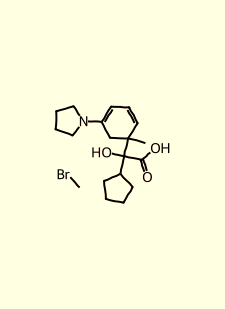 CBr.CC1(C(O)(C(=O)O)C2CCCC2)C=CC=C(N2CCCC2)C1